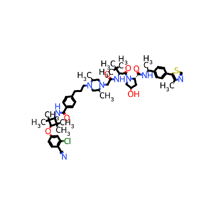 Cc1ncsc1-c1ccc([C@H](C)NC(=O)[C@@H]2C[C@@H](O)CN2C(=O)[C@@H](NC(=O)CN2C[C@H](C)N(CCCc3ccc(C(=O)NC4C(C)(C)C(Oc5ccc(C#N)c(Cl)c5)C4(C)C)cc3)C[C@H]2C)C(C)(C)C)cc1